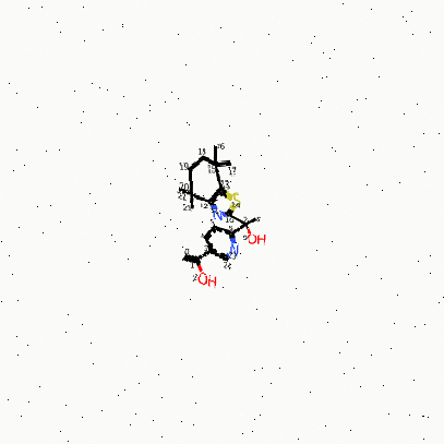 C=C(O)c1ccc(C(C)(O)c2nc3c(s2)C(C)(C)CCC3(C)C)nc1